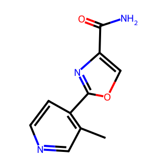 Cc1cnccc1-c1nc(C(N)=O)co1